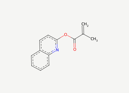 C=C(C)C(=O)Oc1ccc2ccccc2n1